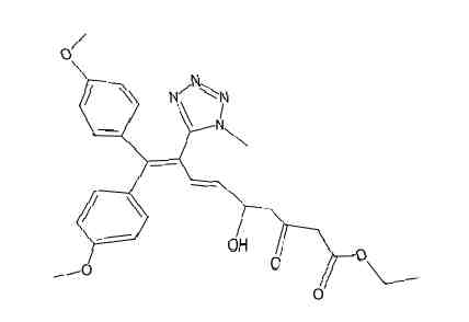 CCOC(=O)CC(=O)CC(O)C=CC(=C(c1ccc(OC)cc1)c1ccc(OC)cc1)c1nnnn1C